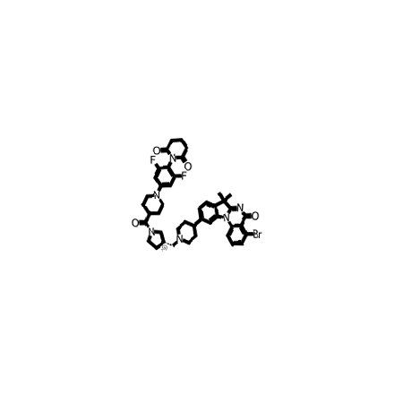 CC1(C)c2ccc(C3CCN(C[C@@H]4CCN(C(=O)C5CCN(c6cc(F)c(N7C(=O)CCCC7=O)c(F)c6)CC5)C4)CC3)cc2-n2c1nc(=O)c1c(Br)cccc12